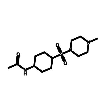 CC(=O)NC1CCC(S(=O)(=O)N2CCN(C)CC2)CC1